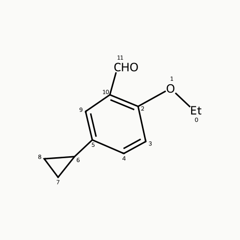 CCOc1ccc(C2CC2)cc1C=O